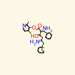 Cc1ccnc(C)c1OCC(=O)[C@@H](C(N)c1ccccc1)[C@@H](O)C[C@@H](N)Cc1ccccc1